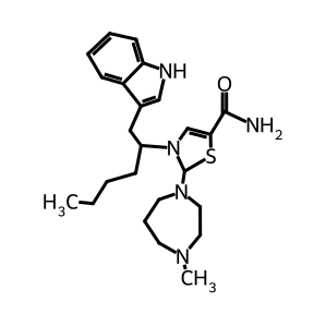 CCCCC(Cc1c[nH]c2ccccc12)N1C=C(C(N)=O)SC1N1CCCN(C)CC1